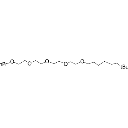 CCCOCCOCCOCCOCCOCCCCCCC(C)(C)C